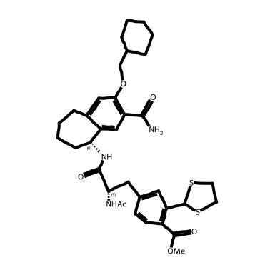 COC(=O)c1ccc(C[C@H](NC(C)=O)C(=O)N[C@@H]2CCCCc3cc(OCC4CCCCC4)c(C(N)=O)cc32)cc1C1SCCS1